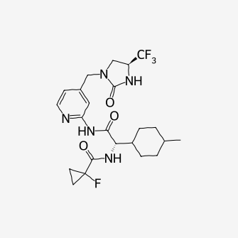 CC1CCC([C@H](NC(=O)C2(F)CC2)C(=O)Nc2cc(CN3C[C@@H](C(F)(F)F)NC3=O)ccn2)CC1